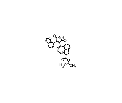 CC(C)OC(=O)C1Cc2cccc3c2N1C=CN=C3C1=C(c2cccc3ccoc23)C(=O)NC1=O